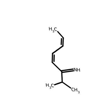 C/C=C\C=C/C(=N)C(C)C